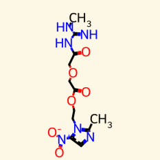 CNC(=N)NC(=O)COCC(=O)OCCn1c([N+](=O)[O-])cnc1C